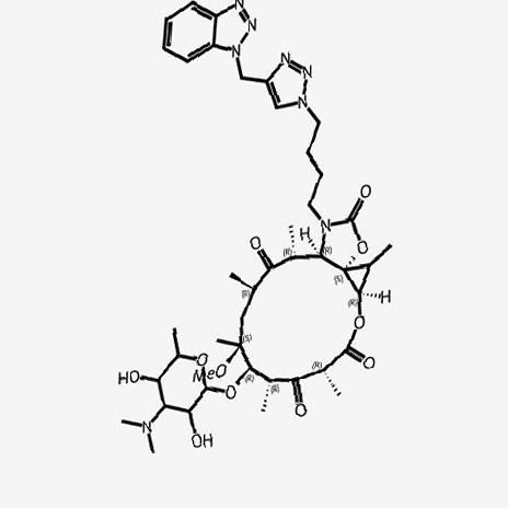 CO[C@@]1(C)C[C@@H](C)C(=O)[C@H](C)[C@H]2N(CCCCn3cc(Cn4nnc5ccccc54)nn3)C(=O)O[C@@]23C(C)[C@H]3OC(=O)[C@H](C)C(=O)[C@H](C)[C@H]1OC1OC(C)C(O)C(N(C)C)C1O